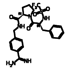 N=C(N)c1ccc(CNC(=O)[C@@H]2CCCN2C(=O)[C@@H](Cc2ccccc2)NS(=O)(=O)C(F)(F)F)cc1